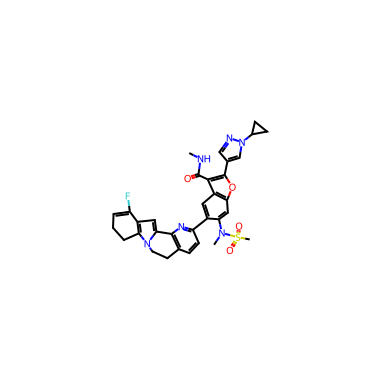 CNC(=O)c1c(-c2cnn(C3CC3)c2)oc2cc(N(C)S(C)(=O)=O)c(-c3ccc4c(n3)-c3cc5c(n3CC4)CCC=C5F)cc12